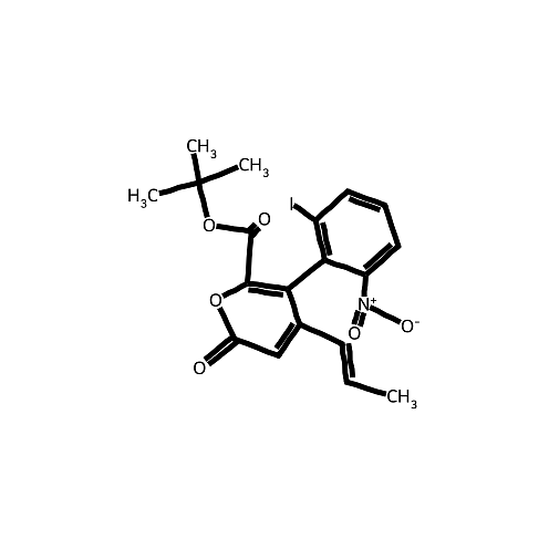 CC=Cc1cc(=O)oc(C(=O)OC(C)(C)C)c1-c1c(I)cccc1[N+](=O)[O-]